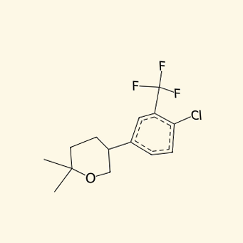 CC1(C)CCC(c2ccc(Cl)c(C(F)(F)F)c2)CO1